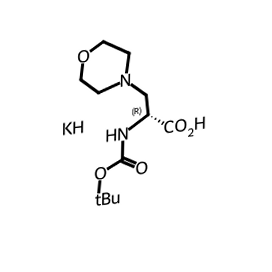 CC(C)(C)OC(=O)N[C@H](CN1CCOCC1)C(=O)O.[KH]